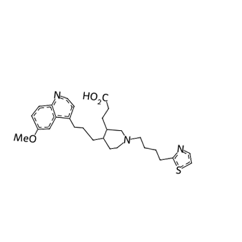 COc1ccc2nccc(CCCC3CCN(CCCCc4nccs4)CC3CCC(=O)O)c2c1